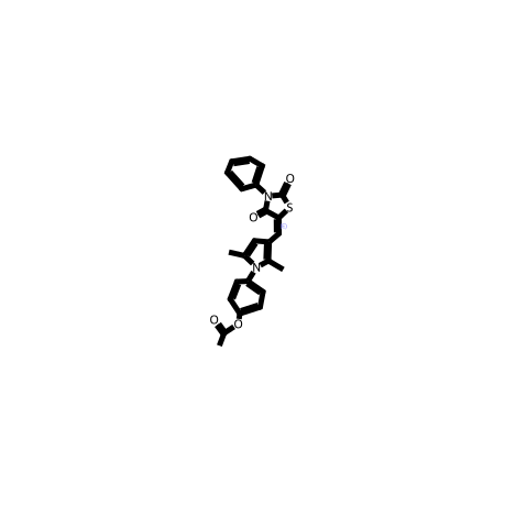 CC(=O)Oc1ccc(-n2c(C)cc(/C=C3/SC(=O)N(c4ccccc4)C3=O)c2C)cc1